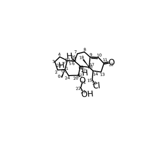 C[C@@]12CCC[C@H]1[C@@H]1CCC3=CC(=O)CC(CCl)[C@]3(C)[C@H]1[C@@H](OCO)C2